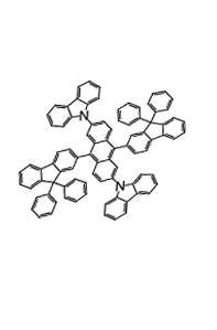 c1ccc(C2(c3ccccc3)c3ccccc3-c3ccc(-c4c5ccc(-n6c7ccccc7c7ccccc76)cc5c(-c5ccc6c(c5)C(c5ccccc5)(c5ccccc5)c5ccccc5-6)c5ccc(-n6c7ccccc7c7ccccc76)cc45)cc32)cc1